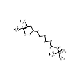 CC1=C(C)CC(CCCCCCOC(C)(C)C)CC1